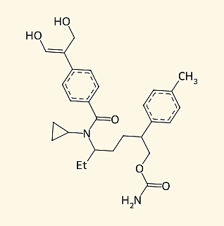 CCC(CCC(COC(N)=O)c1ccc(C)cc1)N(C(=O)c1ccc(/C(=C/O)CO)cc1)C1CC1